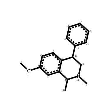 COc1ccc2c(c1)C(C)N(C)CC2c1ccccc1